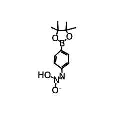 CC1(C)OB(c2ccc(/N=[N+](/[O-])O)cc2)OC1(C)C